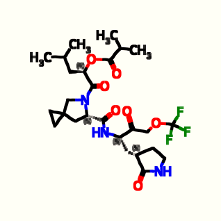 CC(C)C[C@@H](OC(=O)C(C)C)C(=O)N1CC2(CC2)C[C@H]1C(=O)N[C@@H](C[C@@H]1CCNC1=O)C(=O)COC(F)(F)F